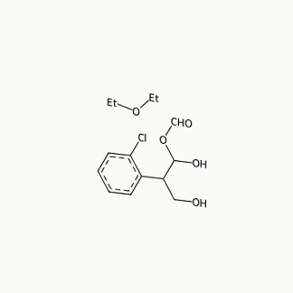 CCOCC.O=COC(O)C(CO)c1ccccc1Cl